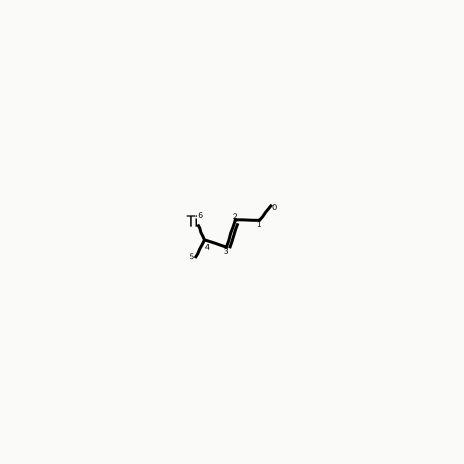 CCC=C[CH](C)[Ti]